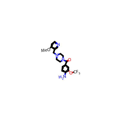 COc1ccncc1CN1CCN(C(=O)c2ccc(N)c(OC(F)(F)F)c2)CC1